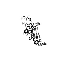 COc1ccc(CC(N)C(=O)NCC(C)(C)C(=O)NC(CC(C)(C)C)C(=O)O[C@@H](CC=CC(=O)O)[C@H](C)C=Cc2ccccc2)cc1Cl